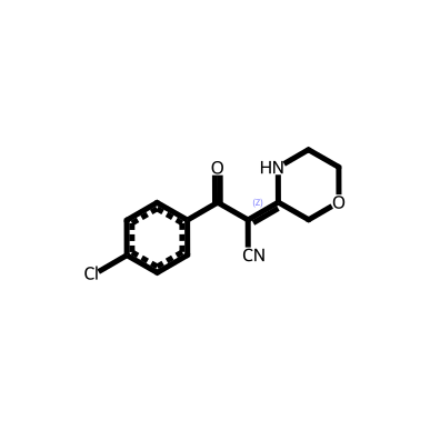 N#C/C(C(=O)c1ccc(Cl)cc1)=C1\COCCN1